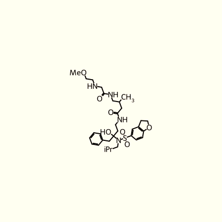 COCCNCC(=O)NCC(C)CC(=O)NCCC(O)(Cc1ccccc1)N(CC(C)C)S(=O)(=O)c1ccc2c(c1)CCO2